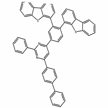 c1ccc(-c2ccc(-c3cc(-c4ccc(-c5cccc6c5sc5ccccc56)c(-c5cccc6c5sc5ccccc56)c4)nc(-c4ccccc4)n3)cc2)cc1